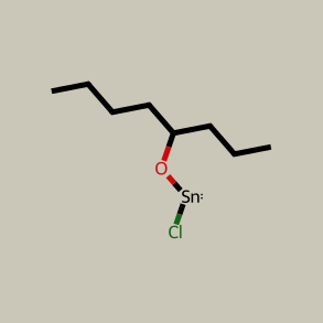 CCCCC(CCC)[O][Sn][Cl]